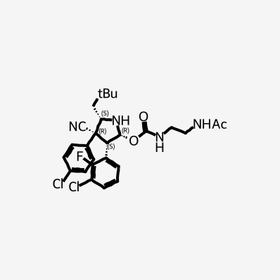 CC(=O)NCCNC(=O)O[C@H]1N[C@@H](CC(C)(C)C)[C@](C#N)(c2ccc(Cl)cc2)[C@H]1c1cccc(Cl)c1F